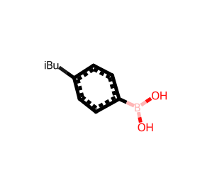 CCC(C)c1ccc(B(O)O)cc1